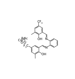 CC(=O)[O-].CC(=O)[O-].Cc1cc(C(F)(F)F)cc(C=Nc2ccccc2N=Cc2cc(C(F)(F)F)cc(C)c2O)c1O.[Co+2]